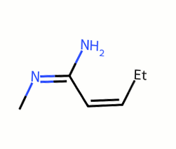 CC/C=C\C(N)=N/C